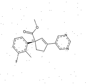 COC(=O)[C@]1(c2cccc(F)c2C)C=C(c2cncnc2)CC1